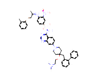 Cc1ccccc1SCC(C)Nc1ccc(S(=O)(=O)Nc2ncnc3cc(N4CCC(Cc5ccccc5-c5ccccc5)(OCCN(C)C)CC4)ccc23)cc1[N+](=O)[O-]